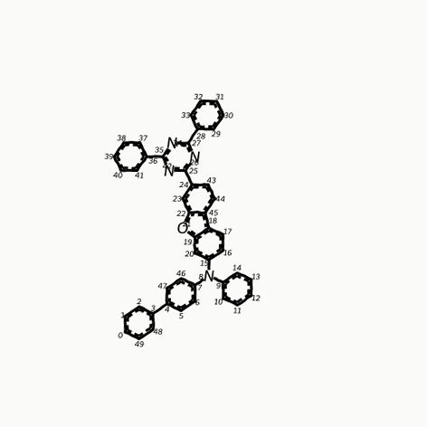 c1ccc(-c2ccc(N(c3ccccc3)c3ccc4c(c3)oc3cc(-c5nc(-c6ccccc6)nc(-c6ccccc6)n5)ccc34)cc2)cc1